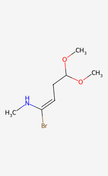 CN/C(Br)=C\CC(OC)OC